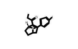 CCC(=O)C1=C(c2ccc(I)cc2)CC2CC[C@H]1N2C